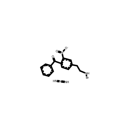 N=[N+]=N.O=C(c1ccccc1)c1ccc(CCNBr)cc1[N+](=O)[O-]